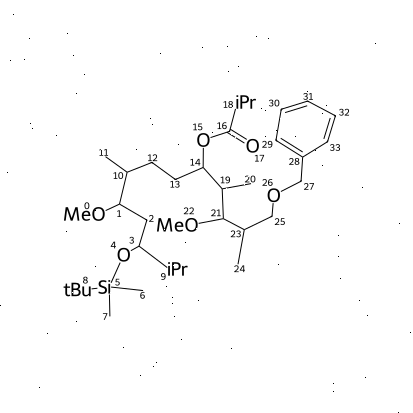 COC(CC(O[Si](C)(C)C(C)(C)C)C(C)C)C(C)CCC(OC(=O)C(C)C)C(C)C(OC)C(C)COCc1ccccc1